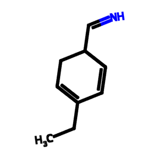 CCC1=CCC(C=N)C=C1